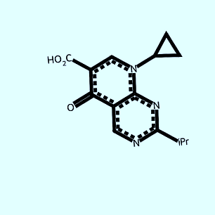 CC(C)c1ncc2c(=O)c(C(=O)O)cn(C3CC3)c2n1